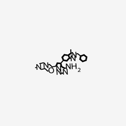 Cc1c2ccc(-c3cc(C4CN5CCN(C)CC5CO4)n4ncnc(N)c34)cc2nn1Cc1ccccc1